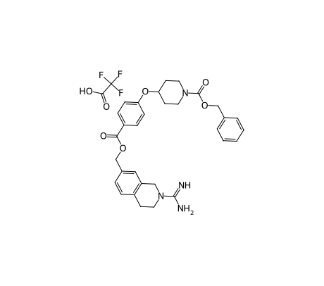 N=C(N)N1CCc2ccc(COC(=O)c3ccc(OC4CCN(C(=O)OCc5ccccc5)CC4)cc3)cc2C1.O=C(O)C(F)(F)F